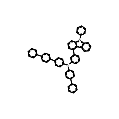 c1ccc(-c2ccc(-c3ccc(N(c4ccc(-c5ccccc5)cc4)c4cccc(-c5cccc6c5c5ccccc5n6-c5ccccc5)c4)cc3)cc2)cc1